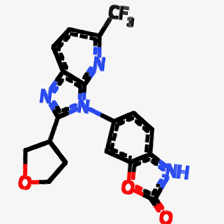 O=c1[nH]c2ccc(-n3c(C4CCOC4)nc4ccc(C(F)(F)F)nc43)cc2o1